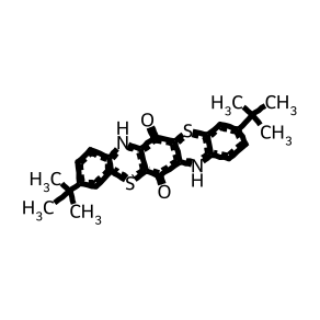 CC(C)(C)c1ccc2[nH]c3c(=O)c4sc5cc(C(C)(C)C)ccc5[nH]c4c(=O)c3sc2c1